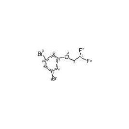 FC(F)COc1cc(Br)cc(Br)c1